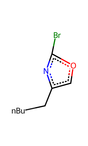 [CH2]CCCCc1coc(Br)n1